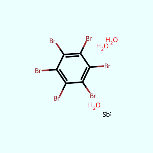 Brc1c(Br)c(Br)c(Br)c(Br)c1Br.O.O.O.[Sb]